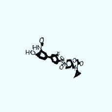 O=CNc1cc(-c2ccc(S(=O)(=O)N3CCC4(CC3)CN(C3CC3)C(=O)CO4)c(F)c2)ccc1O